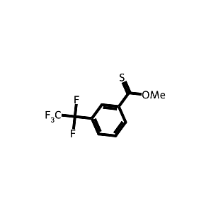 COC(=S)c1cccc(C(F)(F)C(F)(F)F)c1